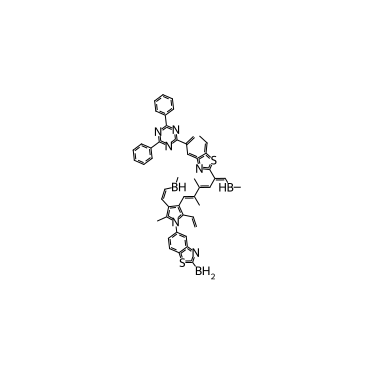 Bc1nc2cc(-n3c(C)c(/C=C\BC)c(/C=C(C)/C(C)=C/C(=C\BC)c4nc(=C/C(=C)c5nc(-c6ccccc6)nc(-c6ccccc6)n5)/c(=C\C)s4)c3C=C)ccc2s1